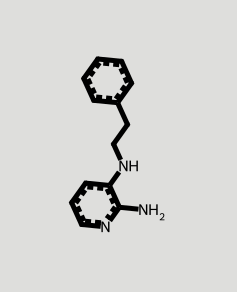 Nc1ncccc1NCCc1ccccc1